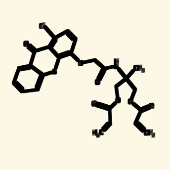 C=CC(=O)OCC(C)(COC(=O)C=C)NC(=O)COc1ccc(Cl)c2c(=O)c3ccccc3sc12